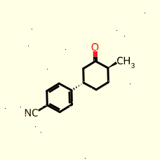 C[C@H]1CC[C@H](c2ccc(C#N)cc2)CC1=O